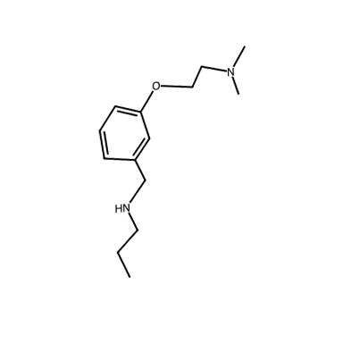 CCCNCc1cccc(OCCN(C)C)c1